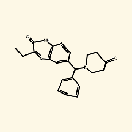 CCc1nc2cc(C(c3ccccc3)N3CCC(=O)CC3)ccc2[nH]c1=O